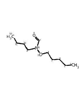 CCCCCON([C]=O)CCCC